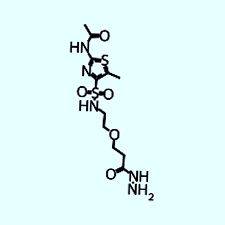 CC(=O)Nc1nc(S(=O)(=O)NCCOCCC(=O)NN)c(C)s1